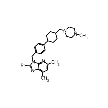 CCc1nc2c(C)cc(C)nc2n1Cc1ccc([C]2CCC(CN3CCN(C)CC3)CC2)cc1